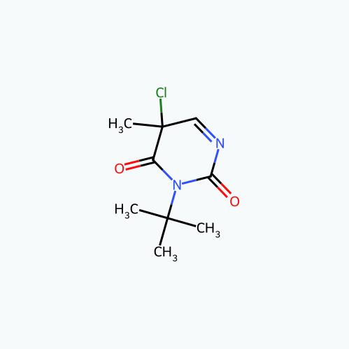 CC1(Cl)C=NC(=O)N(C(C)(C)C)C1=O